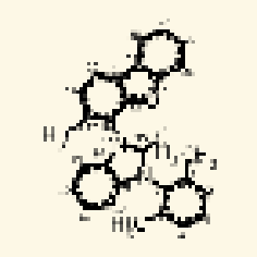 Cc1cccc(C)c1N1c2ccccc2N(c2c(C)ccc3c2oc2ccccc23)C1C